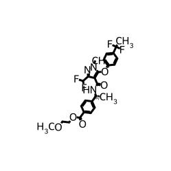 COCCOC(=O)c1ccc([C@H](C)NC(=O)c2c(C(F)F)nn(C)c2Oc2ccc(C(C)(F)F)cc2)cc1